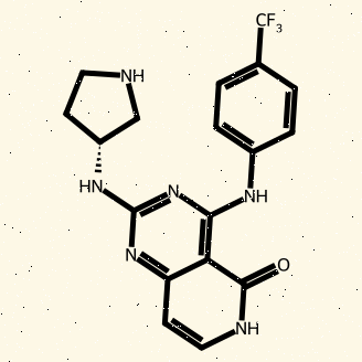 O=c1[nH]ccc2nc(N[C@@H]3CCNC3)nc(Nc3ccc(C(F)(F)F)cc3)c12